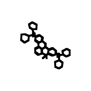 CC1(C)c2cc(B(C3CCCCC3)C3CCCCC3)ccc2-c2cc3ccc(B(C4CCCCC4)C4CCCCC4)cc3c3cccc1c23